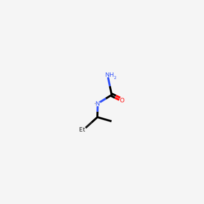 CCC(C)[N]C(N)=O